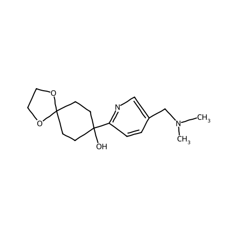 CN(C)Cc1ccc(C2(O)CCC3(CC2)OCCO3)nc1